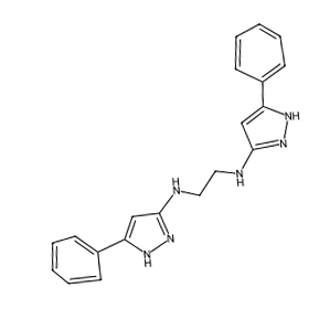 c1ccc(-c2cc(NCCNc3cc(-c4ccccc4)[nH]n3)n[nH]2)cc1